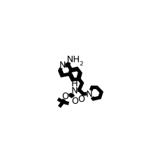 CC(C)(C)OC(=O)NC(Cc1ccc2c(N)nccc2c1)C(=O)N1CCCCC1